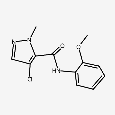 COc1ccccc1NC(=O)c1c(Cl)cnn1C